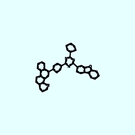 c1ccc(-c2nc(-c3ccc(-c4cc5c(ccc6cccnc65)c5ccccc45)cc3)nc(-c3ccc4c(c3)oc3ccccc34)n2)cc1